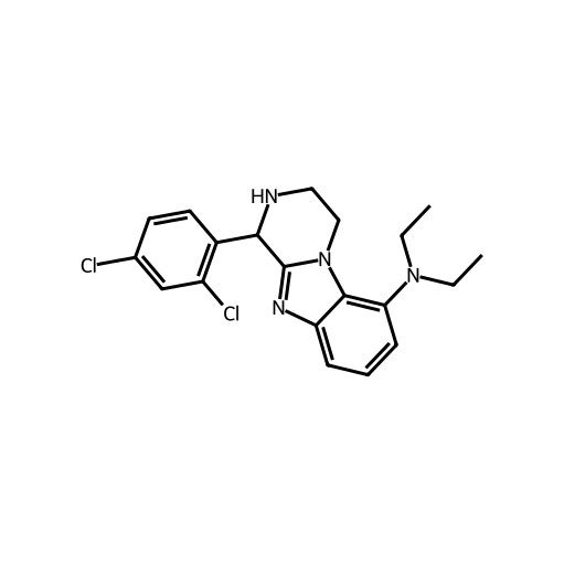 CCN(CC)c1cccc2nc3n(c12)CCNC3c1ccc(Cl)cc1Cl